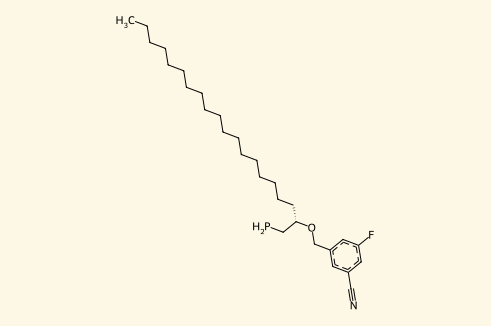 CCCCCCCCCCCCCCCCCC[C@@H](CP)OCc1cc(F)cc(C#N)c1